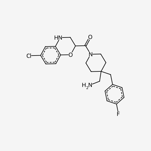 NCC1(Cc2ccc(F)cc2)CCN(C(=O)C2CNc3cc(Cl)ccc3O2)CC1